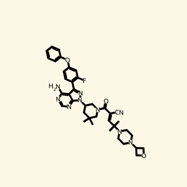 CC1(C)CC(n2nc(-c3ccc(Oc4ccccc4)cc3F)c3c(N)ncnc32)CN(C(=O)C(C#N)=CC(C)(C)N2CCN(C3COC3)CC2)C1